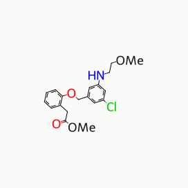 COCCNc1cc(Cl)cc(COc2ccccc2CC(=O)OC)c1